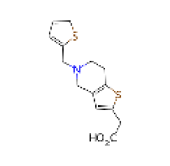 O=C(O)Cc1cc2c(s1)CCN(Cc1cccs1)C2